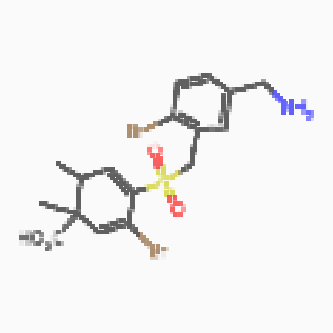 CC1C=C(S(=O)(=O)Cc2cc(CN)ccc2Br)C(Br)=CC1(C)C(=O)O